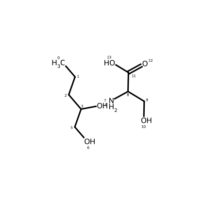 CCCC(O)CO.NC(CO)C(=O)O